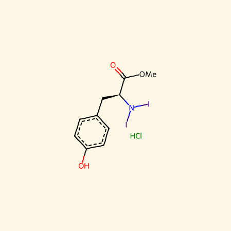 COC(=O)[C@H](Cc1ccc(O)cc1)N(I)I.Cl